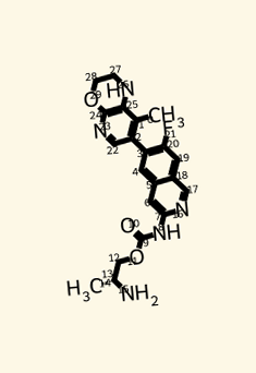 Cc1c(-c2cc3cc(NC(=O)OC[C@@H](C)N)ncc3cc2F)cnc2c1NCCO2